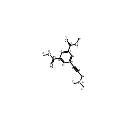 COC(=O)c1cc(C#CCN(C)C)cc(C(=O)OC)c1